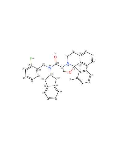 COC1(c2ccccc2C)c2ccccc2CCN1CC(=O)N(Cc1ccccc1F)C1Cc2ccccc2C1